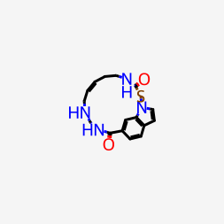 O=C1NCCC=CCNCNC(=O)c2ccc3ccn(c3c2)S1